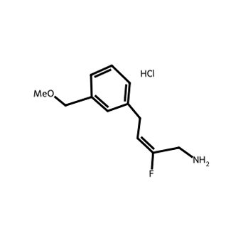 COCc1cccc(C/C=C(/F)CN)c1.Cl